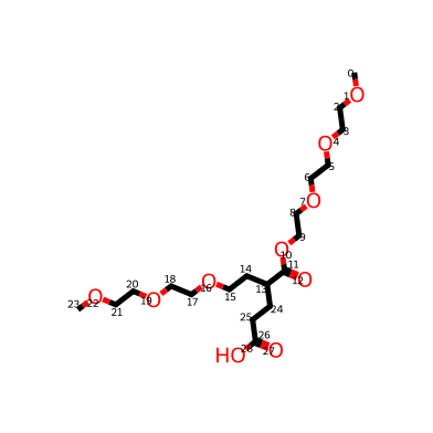 COCCOCCOCCOC(=O)C(CCOCCOCCOC)CCC(=O)O